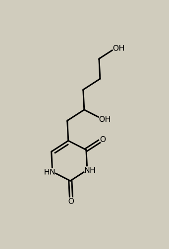 O=c1[nH]cc(CC(O)CCCO)c(=O)[nH]1